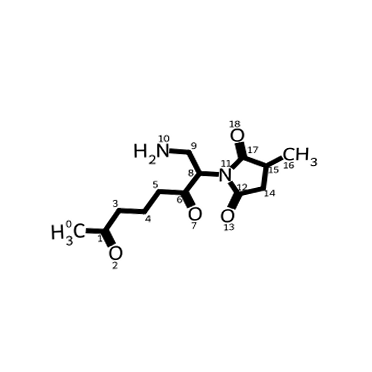 CC(=O)CCCC(=O)C(CN)N1C(=O)CC(C)C1=O